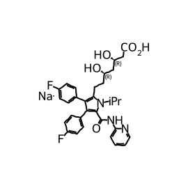 CC(C)n1c(CC[C@@H](O)C[C@@H](O)CC(=O)O)c(-c2ccc(F)cc2)c(-c2ccc(F)cc2)c1C(=O)Nc1ccccn1.[Na]